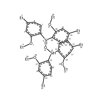 CCOc1cc(CC)ccc1[SiH](O[SiH](c1ccc(CC)cc1OCC)c1ccc(CC)cc1OCC)c1ccc(CC)cc1OCC